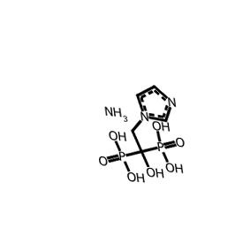 N.O=P(O)(O)C(O)(Cn1ccnc1)P(=O)(O)O